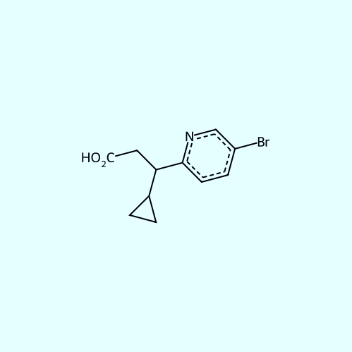 O=C(O)CC(c1ccc(Br)cn1)C1CC1